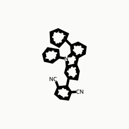 N#Cc1cccc(C#N)c1-c1ccc2c3cccc(-c4ccccc4)c3n(-c3ccccc3)c2c1